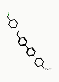 CCCCC[C@H]1CC[C@H](c2ccc(-c3ccc(CC[C@H]4CC[C@H](CF)CC4)cc3)cc2)CC1